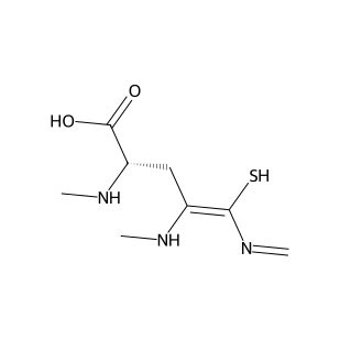 C=N/C(S)=C(/C[C@H](NC)C(=O)O)NC